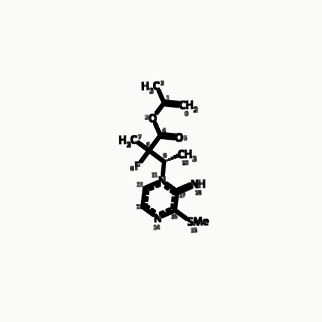 C=C(C)OC(=O)C(C)(F)[C@H](C)n1ccnc(SC)c1=N